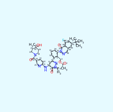 CC(=O)OCc1c(-c2cc(Nc3ccc(C(=O)N4CCC(C)(O)CC4)cn3)c(=O)n(C)n2)cccc1-n1ncc2cc(C(C)(C)C)cc(F)c2c1=O